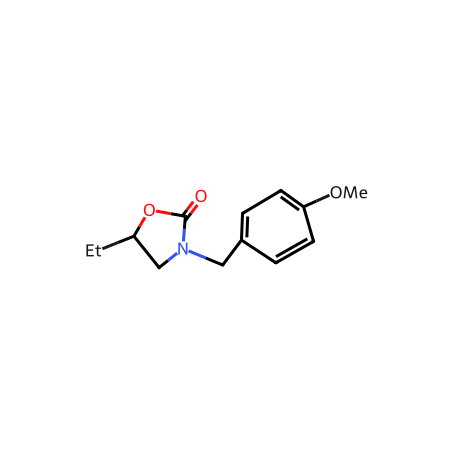 CCC1CN(Cc2ccc(OC)cc2)C(=O)O1